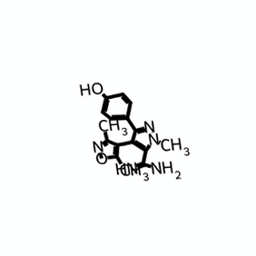 Cc1noc(C)c1-c1c(-c2ccc(O)cc2)nn(C)c1C(=N)N